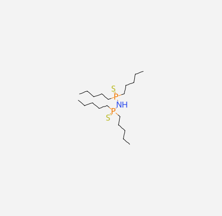 CCCCCP(=S)(CCCCC)NP(=S)(CCCCC)CCCCC